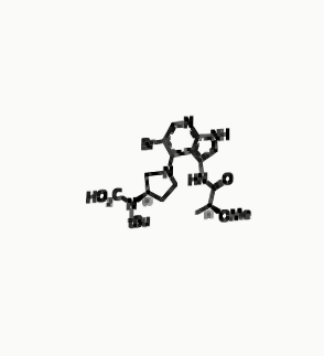 CO[C@@H](C)C(=O)Nc1c[nH]c2ncc(Br)c(N3CC[C@@H](N(C(=O)O)C(C)(C)C)C3)c12